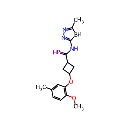 COc1ccc(C)cc1OC1CC(C(=P)NC2=NN=C(C)B2)C1